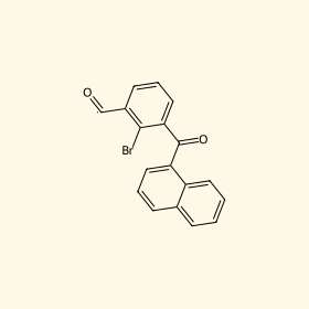 O=[C]c1cccc(C(=O)c2cccc3ccccc23)c1Br